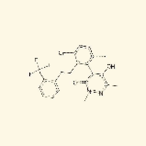 Cc1nn(C)c(=O)c(-c2c(F)ccc(Cl)c2CCc2ccccc2C(F)(F)F)c1O